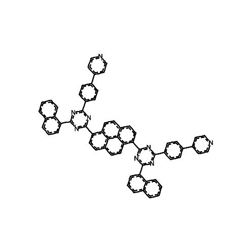 c1ccc2c(-c3nc(-c4ccc(-c5ccncc5)cc4)nc(-c4ccc5ccc6c(-c7nc(-c8ccc(-c9ccncc9)cc8)nc(-c8cccc9ccccc89)n7)ccc7ccc4c5c76)n3)cccc2c1